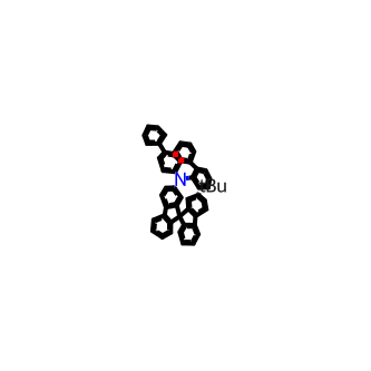 CC(C)(C)c1ccc2c(c1)C1(c3ccccc3-c3ccc(N(c4ccc(-c5ccccc5)cc4)c4ccccc4-c4ccccc4)cc31)c1ccccc1-2